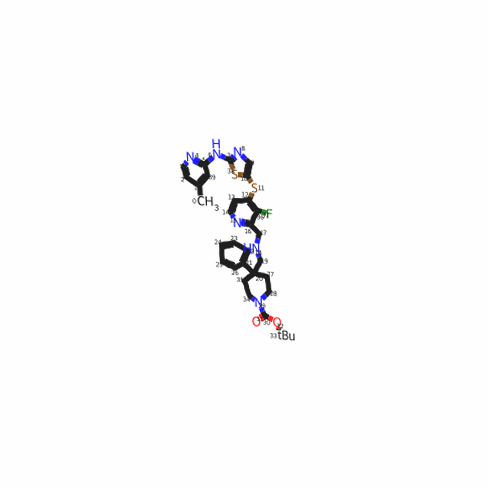 Cc1ccnc(Nc2ncc(Sc3ccnc(CNCC4(c5ccccc5)CCN(C(=O)OC(C)(C)C)CC4)c3F)s2)c1